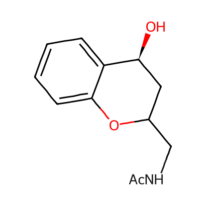 CC(=O)NCC1C[C@H](O)c2ccccc2O1